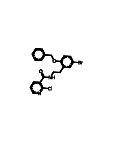 O=C(NCCc1cc(Br)ccc1OCc1ccccc1)c1cccnc1Cl